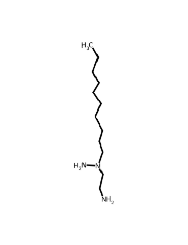 CCCCCCCCCCN(N)CCN